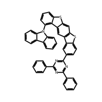 c1ccc(-c2nc(-c3ccccc3)nc(-c3ccc4sc5cc6sc7cccc(-n8c9ccccc9c9ccccc98)c7c6cc5c4c3)n2)cc1